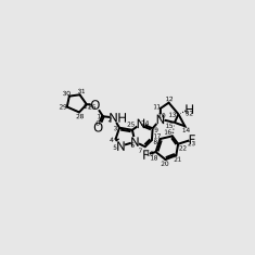 O=C(Nc1cnn2ccc(N3CC[C@H]4C[C@]43c3cc(F)ccc3F)nc12)OC1CCCC1